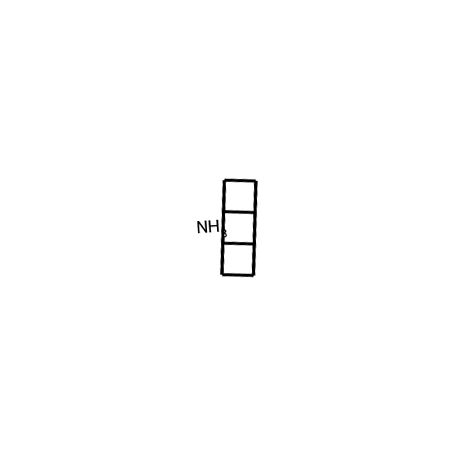 C12C3C4C1C1C2C3C41.N